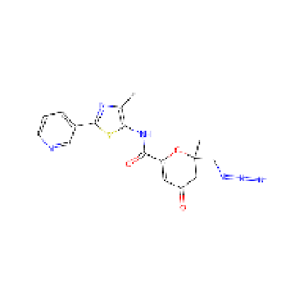 Cc1nc(-c2cccnc2)sc1NC(=O)C1=CC(=O)CC(C)(CN=[N+]=[N-])O1